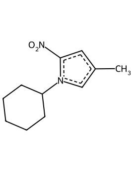 Cc1cc([N+](=O)[O-])n(C2CCCCC2)c1